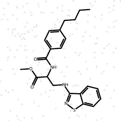 CCCCc1ccc(C(=O)NC(CNc2nsc3ccccc23)C(=O)OC)cc1